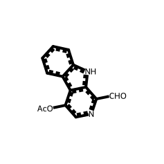 CC(=O)Oc1cnc(C=O)c2[nH]c3ccccc3c12